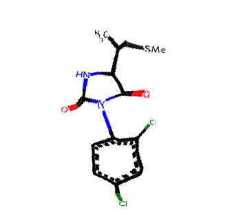 CSC(C)C1NC(=O)N(c2ccc(Cl)cc2Cl)C1=O